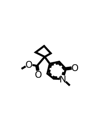 COC(=O)C1(c2ccn(C)c(=O)c2)CCC1